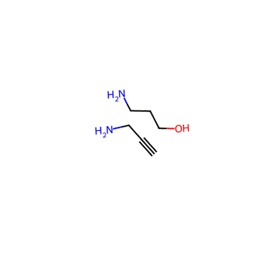 C#CCN.NCCCO